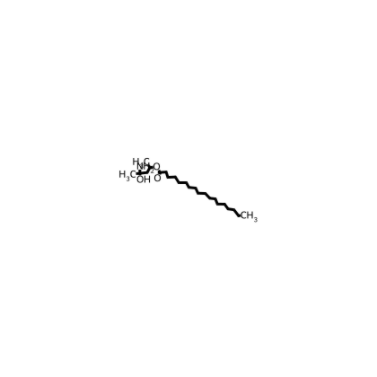 CCCCCCCCCCCCCCCCCC(=O)OC(C)CC(C)(N)O